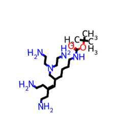 CC(C)(C)OC(=O)NCCCCC(C=C(CCN)CCN)CN(CCN)CCN